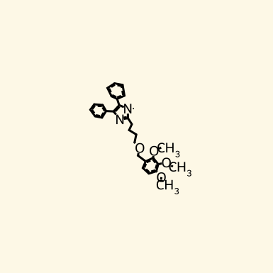 COc1ccc(COCCCCC2=NC(c3ccccc3)=C(c3ccccc3)[N]2)c(OC)c1OC